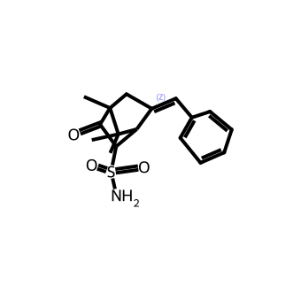 CC12C/C(=C/c3ccccc3)C(C(S(N)(=O)=O)C1=O)C2(C)C